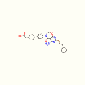 Nc1nc(SCCc2ccccc2)nc2c1C(=O)N(c1ccc([C@H]3CC[C@H](CC(=O)O)CC3)cc1)CCO2